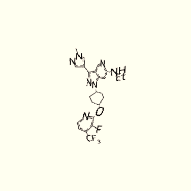 CCNc1cc2c(cn1)c(-c1cnn(C)c1)nn2[C@H]1CC[C@@H](Oc2nccc(C(F)(F)F)c2F)CC1